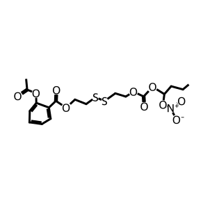 CCCC(OC(=O)OCCSSCCOC(=O)c1ccccc1OC(C)=O)O[N+](=O)[O-]